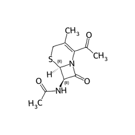 CC(=O)N[C@@H]1C(=O)N2C(C(C)=O)=C(C)CS[C@H]12